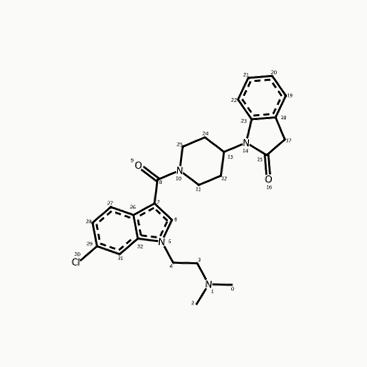 CN(C)CCn1cc(C(=O)N2CCC(N3C(=O)Cc4ccccc43)CC2)c2ccc(Cl)cc21